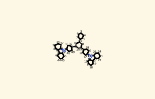 C1=C(c2ccccc2)C=C(c2ccc(-n3c4ccccc4c4ccccc43)cc2)CC1c1ccc(-n2c3ccccc3c3ccccc32)cc1